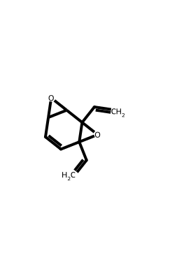 C=CC12C=CC3OC3C1(C=C)O2